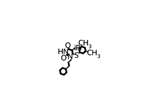 Cc1cc(C)cc(Sc2c(C(C)C)c(=O)[nH]c(=O)n2CC=Cc2ccccc2)c1